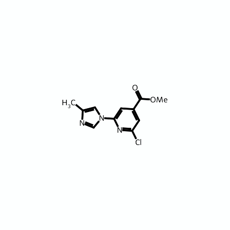 COC(=O)c1cc(Cl)nc(-n2cnc(C)c2)c1